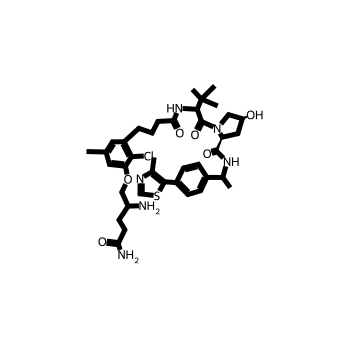 Cc1cc(CCCC(=O)NC(C(=O)N2C[C@H](O)C[C@H]2C(=O)NC(C)c2ccc(-c3scnc3C)cc2)C(C)(C)C)c(Cl)c(OCC(N)CCC(N)=O)c1